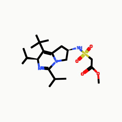 COC(=O)CS(=O)(=O)N[C@H]1CC2=C(C(C)(C)C)[C@H](C(C)C)N=C(C(C)C)N2C1